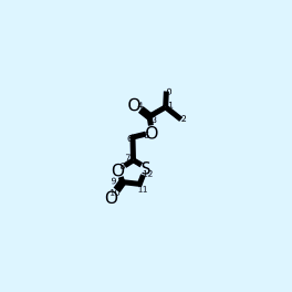 CC(C)C(=O)OCC1OC(=O)CS1